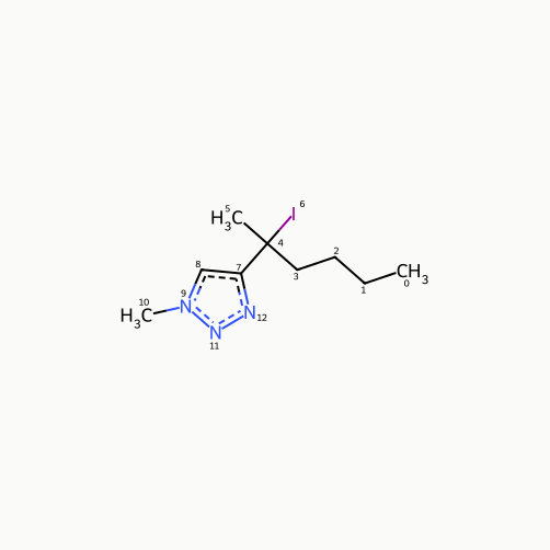 CCCCC(C)(I)c1cn(C)nn1